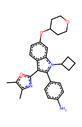 Cc1nc(-c2c(-c3ccc(N)cc3)n(C3CCC3)c3cc(OC4CCOCC4)ccc23)oc1C